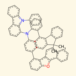 CC1(C)c2ccccc2-c2c(-c3ccccc3N(c3ccc(-c4cccc5oc6c7ccccc7ccc6c45)cc3)c3cccc4c5ccccc5n(-c5ccccc5)c34)cccc21